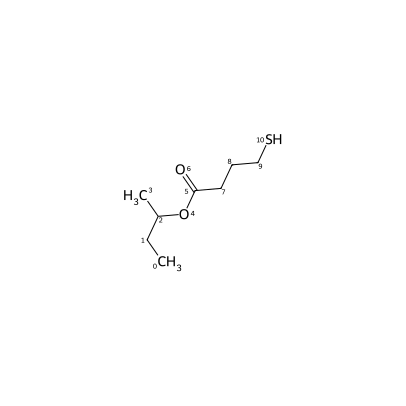 CCC(C)OC(=O)CCCS